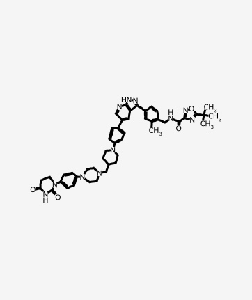 Cc1cc(-c2n[nH]c3ncc(-c4ccc(N5CCC(CN6CCN(c7ccc(N8CCC(=O)NC8=O)cc7)CC6)CC5)cc4)cc23)ccc1CNC(=O)c1noc(C(C)(C)C)n1